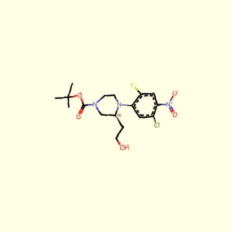 CC(C)(C)OC(=O)N1CCN(c2cc(Cl)c([N+](=O)[O-])cc2F)[C@@H](CCO)C1